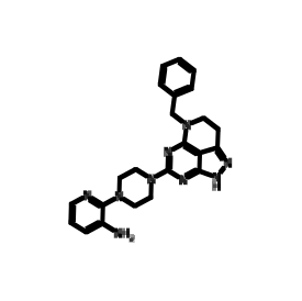 Nc1cccnc1N1CCN(c2nc3c4c(n[nH]c4n2)CCN3Cc2ccccc2)CC1